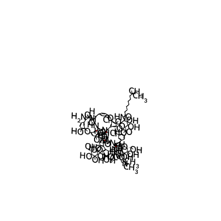 CC(=O)N[C@H]1[C@H](O[C@@H]2c3ccc(c(Cl)c3)Oc3cc4cc(c3O[C@@H]3O[C@H](C(=O)O)[C@@H](O)[C@H](O)[C@H]3NC(=O)CCCCCCCC(C)C)Oc3ccc(cc3Cl)C[C@H]3NC(=O)[C@H](N)c5ccc(O)c(c5)Oc5cc(O)c(Cl)c(c5)[C@H](NC3=O)C(=O)N[C@H]4C(=O)N[C@H]3C(=O)N[C@@H]2C(=O)N[C@@H](C(=O)NCCCN(C)C)c2cc(O)cc(O[C@H]4O[C@H](CO)[C@@H](O)[C@H](O)[C@@H]4O)c2-c2cc3ccc2O)O[C@H](CO)[C@@H](O)[C@@H]1O